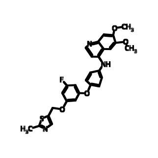 COc1cc2nccc(Nc3ccc(Oc4cc(F)cc(OCc5cnc(C)s5)c4)cc3)c2cc1OC